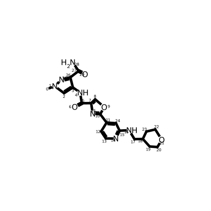 Cn1cc(NC(=O)c2coc(-c3ccnc(NCC4CCOCC4)c3)n2)c(C(N)=O)n1